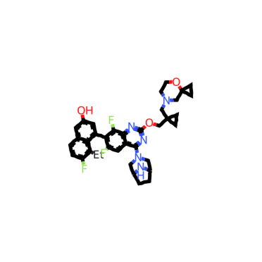 CCc1c(F)ccc2cc(O)cc(-c3c(F)cc4c(N5CC6CCC(C5)N6)nc(OCC5(CN6CCOC7(CC7)C6)CC5)nc4c3F)c12